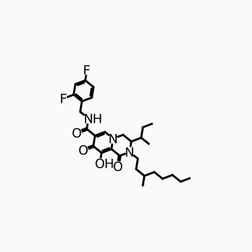 CCCCCC(C)CCN1C(=O)c2c(O)c(=O)c(C(=O)NCc3ccc(F)cc3F)cn2CC1C(C)CC